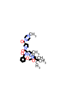 CC(C)C[C@@H](NC(=O)c1ccccc1OCc1ncc(C(C)(C)C)o1)C(=O)N1CC[C@@H](C(=O)N2CCN(C)CC2)C1